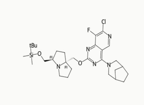 CC(C)(C)[Si](C)(C)OC[C@H]1CC[C@@]2(COc3nc(N4CC5CCC(C5)C4)c4cnc(Cl)c(F)c4n3)CCCN12